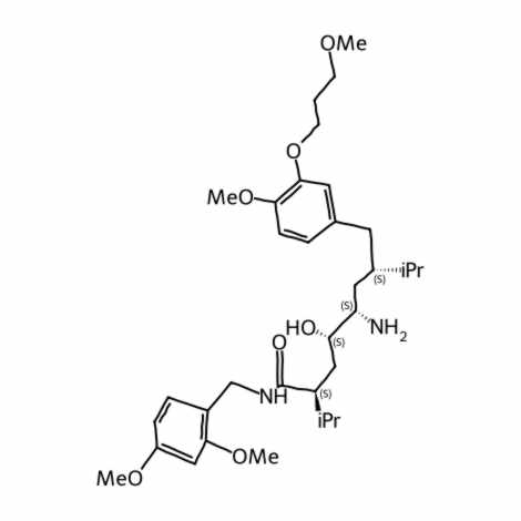 COCCCOc1cc(C[C@@H](C[C@H](N)[C@@H](O)C[C@H](C(=O)NCc2ccc(OC)cc2OC)C(C)C)C(C)C)ccc1OC